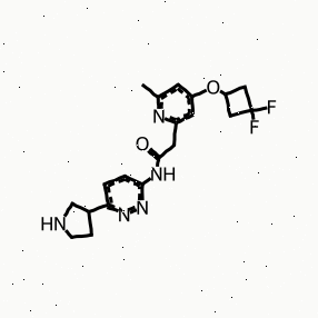 Cc1cc(OC2CC(F)(F)C2)cc(CC(=O)Nc2ccc(C3CCNC3)nn2)n1